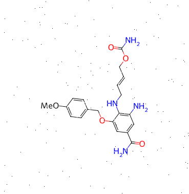 COc1ccc(COc2cc(C(N)=O)cc(N)c2NC/C=C/COC(N)=O)cc1